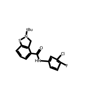 CC(C)(C)N1Cc2c(cccc2C(=O)Nc2ccc(F)c(Cl)c2)S1